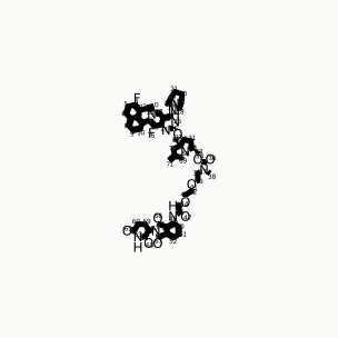 C#Cc1c(F)ccc2cccc(-c3ncc4c(N5CC6CCC(C5)N6)nc(OC[C@@]56CC[C@@H](COC(=O)N(C)CCOCCOCC(=O)Nc7cccc8c7C(=O)N(C7CCC(=O)NC7=O)C8=O)N5CC(=C)C6)nc4c3F)c12